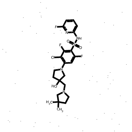 CC1(C)CCN(CC2(O)CCN(c3cc(F)c(S(=O)(=O)Nc4cccc(F)n4)c(F)c3Cl)C2)C1